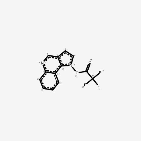 O=C(On1ccc2cnc3ccccc3c21)C(F)(F)F